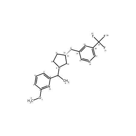 COc1cccc(C(C)N2CC[C@H](Cc3cncc(C(F)(F)F)c3)C2)n1